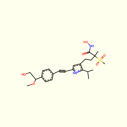 COC(CO)c1ccc(C#Cc2cc(CCC(C)(C(=O)NO)S(C)(=O)=O)c(C(C)C)[nH]2)cc1